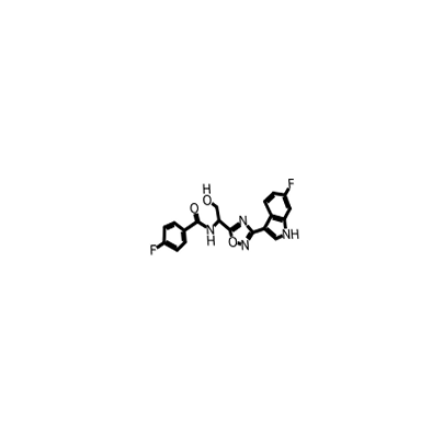 O=C(NC(CO)c1nc(-c2c[nH]c3cc(F)ccc23)no1)c1ccc(F)cc1